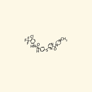 CN1CCN(C(=O)c2nccc(Sc3ccc(NC(=O)Nc4ccc(Cl)c(C(F)(F)F)c4)cc3)n2)CC1